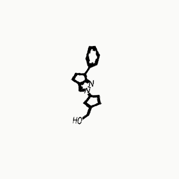 OCC1CCC(n2cc3c(n2)C(c2ccccc2)CC3)C1